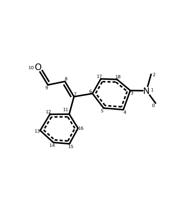 CN(C)c1ccc(/C(=C/C=O)c2ccccc2)cc1